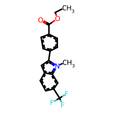 CCOC(=O)c1ccc(-c2cc3ccc(C(F)(F)F)cc3n2C)cc1